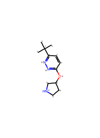 CC(C)(C)c1ccc(OC2CCNC2)nn1